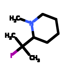 CN1CCCCC1C(C)(C)I